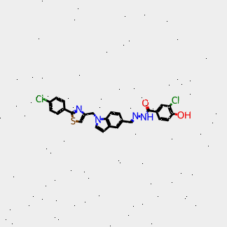 O=C(N/N=C/c1ccc2c(ccn2Cc2csc(-c3ccc(Cl)cc3)n2)c1)c1ccc(O)c(Cl)c1